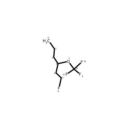 CCCC(CCF)OC(F)(F)F